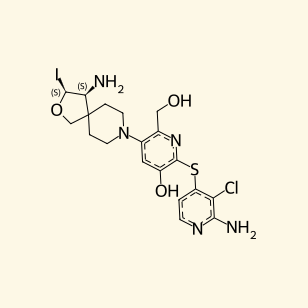 Nc1nccc(Sc2nc(CO)c(N3CCC4(CC3)CO[C@@H](I)[C@H]4N)cc2O)c1Cl